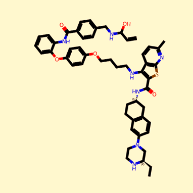 C=CC(O)NCc1ccc(C(=O)Nc2ccccc2Oc2ccc(OCCCCNc3c(C(=O)N[C@H]4CCc5cc(N6CCN[C@H](CC)C6)ccc5C4)sc4nc(C)ccc34)cc2)cc1